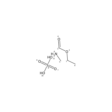 CCOC=O.CN.O=S(=O)(O)O